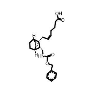 O=C(O)CCC/C=C\C[C@@H]1[C@H](CNC(=O)OCc2ccccc2)[C@@H]2CC[C@H]1O2